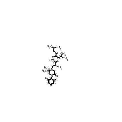 CC(C)CNC(=O)[C@@H](C[C@H](O)[C@@H](N)CN1CC(=O)N(c2c(F)cccc2F)CC1(C)C)C(C)C